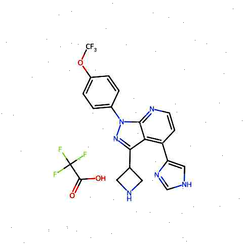 FC(F)(F)Oc1ccc(-n2nc(C3CNC3)c3c(-c4c[nH]cn4)ccnc32)cc1.O=C(O)C(F)(F)F